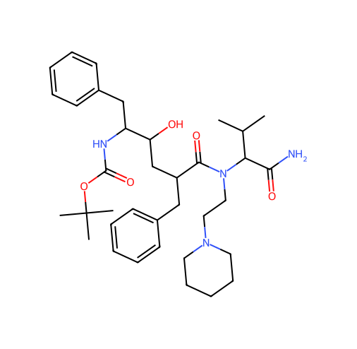 CC(C)C(C(N)=O)N(CCN1CCCCC1)C(=O)C(Cc1ccccc1)CC(O)C(Cc1ccccc1)NC(=O)OC(C)(C)C